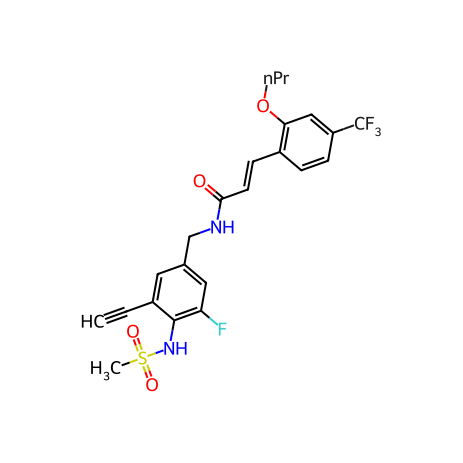 C#Cc1cc(CNC(=O)C=Cc2ccc(C(F)(F)F)cc2OCCC)cc(F)c1NS(C)(=O)=O